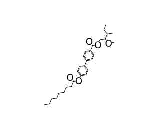 CCCCCCCCC(=O)Oc1ccc(-c2ccc(C(=O)OCC(OC)C(C)CC)cc2)cc1